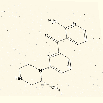 C[C@@H]1CNCCN1c1cccc(C(=O)c2cccnc2N)n1